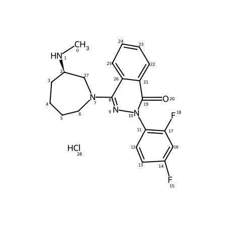 CN[C@@H]1CCCCN(c2nn(-c3ccc(F)cc3F)c(=O)c3ccccc23)C1.Cl